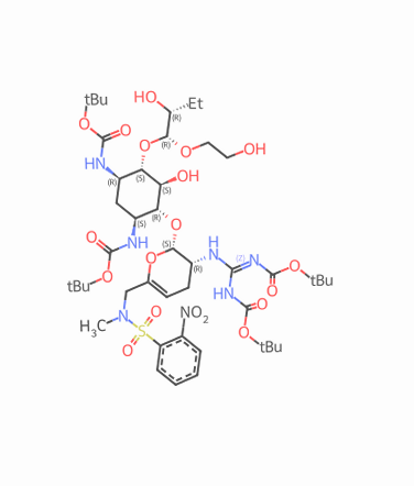 CC[C@@H](O)[C@H](OCCO)O[C@@H]1[C@@H](O)[C@H](O[C@H]2OC(CN(C)S(=O)(=O)c3ccccc3[N+](=O)[O-])=CC[C@H]2N/C(=N/C(=O)OC(C)(C)C)NC(=O)OC(C)(C)C)[C@@H](NC(=O)OC(C)(C)C)C[C@H]1NC(=O)OC(C)(C)C